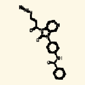 [N-]=[N+]=NC=CC(=O)n1c(=O)n(-c2ccc(NC(=O)c3ccccc3)cc2)c2cnccc21